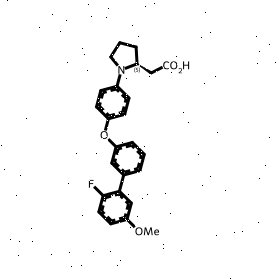 COc1ccc(F)c(-c2cccc(Oc3ccc(N4CCC[C@H]4CC(=O)O)cc3)c2)c1